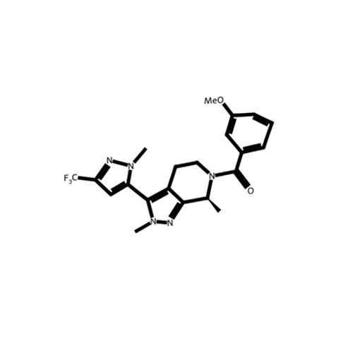 COc1cccc(C(=O)N2CCc3c(nn(C)c3-c3cc(C(F)(F)F)nn3C)[C@@H]2C)c1